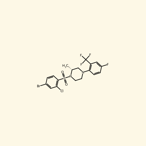 C[C@@H]1CN(c2ccc(F)cc2C(F)(F)F)CCN1S(=O)(=O)c1ccc(Br)cc1Cl